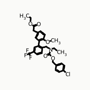 CCOC(=O)Cc1ccc(OC)c(-c2cc(C(F)(F)F)ccc2CN(CC)C(=O)OCc2ccc(Cl)cc2)c1